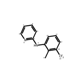 Cc1c(Nc2[c]cccn2)cccc1C(F)(F)F